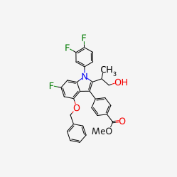 COC(=O)c1ccc(-c2c(C(C)CO)n(-c3ccc(F)c(F)c3)c3cc(F)cc(OCc4ccccc4)c23)cc1